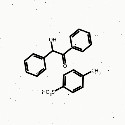 Cc1ccc(S(=O)(=O)O)cc1.O=C(c1ccccc1)C(O)c1ccccc1